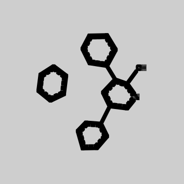 Oc1ncc(-c2ccccc2)cc1-c1ccccc1.c1ccccc1